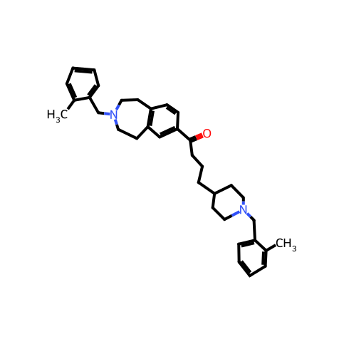 Cc1ccccc1CN1CCc2ccc(C(=O)CCCC3CCN(Cc4ccccc4C)CC3)cc2CC1